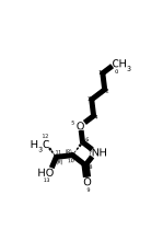 CCCCCOC1NC(=O)[C@@H]1[C@@H](C)O